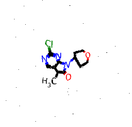 CC1C(=O)N(C2CCOCC2)c2nc(Cl)ncc21